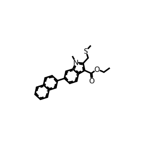 CCOC(=O)c1c(CSC)n(C)c2cc(-c3ccc4ccccc4c3)ccc12